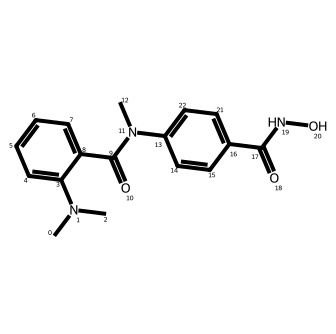 CN(C)c1ccccc1C(=O)N(C)c1ccc(C(=O)NO)cc1